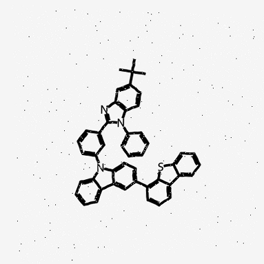 CC(C)(C)c1ccc2c(c1)nc(-c1cccc(-n3c4ccccc4c4cc(-c5cccc6c5sc5ccccc56)ccc43)c1)n2-c1ccccc1